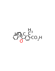 Cc1c(C(=O)O)ccc(C(=O)c2cccc3ccccc23)c1C(=O)O